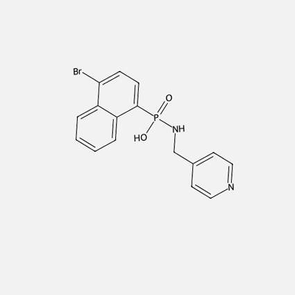 O=P(O)(NCc1ccncc1)c1ccc(Br)c2ccccc12